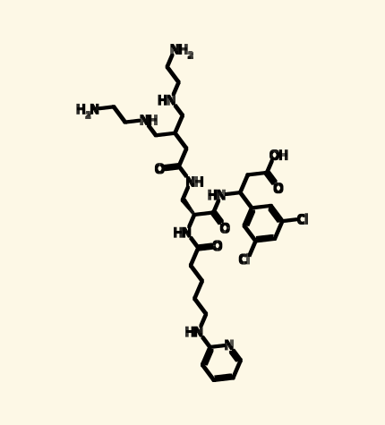 NCCNCC(CNCCN)CC(=O)NC[C@H](NC(=O)CCCCNc1ccccn1)C(=O)NC(CC(=O)O)c1cc(Cl)cc(Cl)c1